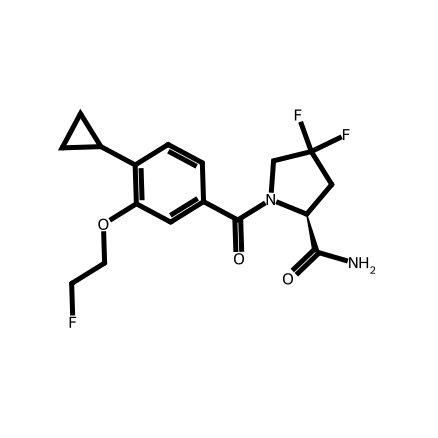 NC(=O)[C@@H]1CC(F)(F)CN1C(=O)c1ccc(C2CC2)c(OCCF)c1